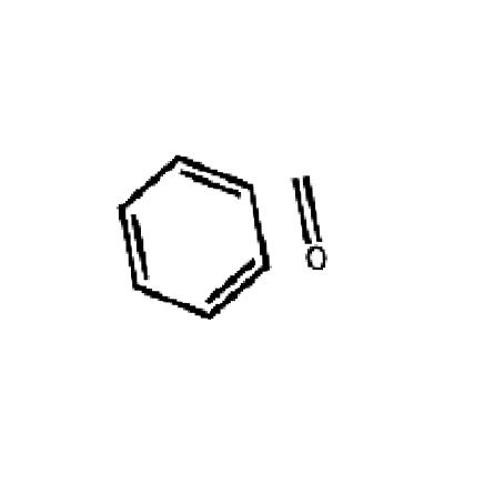 C=O.c1ccccc1